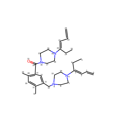 C=C/C=C(\CC)N1CCN(Cc2cc(C(=O)N3CCN(/C(=C/C=C)CC)CC3)c(C)cc2C)CC1